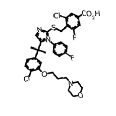 CC(C)(c1ccc(Cl)c(OCCCN2CCOCC2)c1)c1cnc(SCc2c(F)cc(C(=O)O)cc2Cl)n1-c1ccc(F)cc1